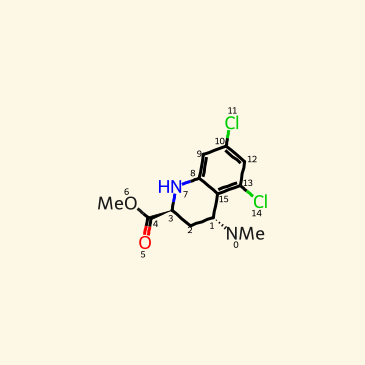 CN[C@@H]1C[C@@H](C(=O)OC)Nc2cc(Cl)cc(Cl)c21